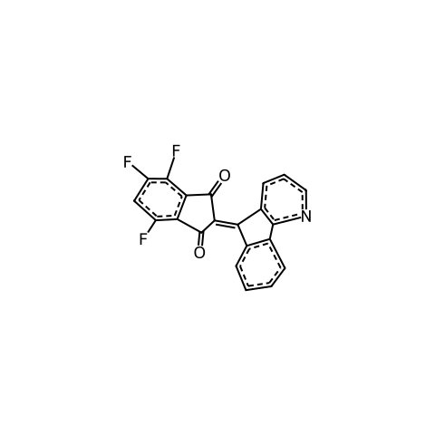 O=C1/C(=C2\c3ccccc3-c3ncccc32)C(=O)c2c(F)c(F)cc(F)c21